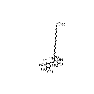 CCCCCCCCCCCCCCCCCCCCCCCCCC(=O)NC(CCC1CC(CO)C(O)C(O)C1O)C(O)C(O)CC